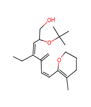 C=C(/C=C\C1=C(C)CCCO1)/C(=C\C(CO)OC(C)(C)C)CC